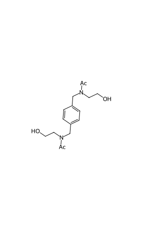 CC(=O)N(CCO)Cc1ccc(CN(CCO)C(C)=O)cc1